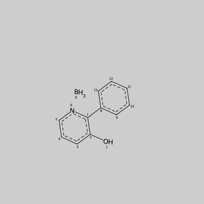 B.Oc1cccnc1-c1ccccc1